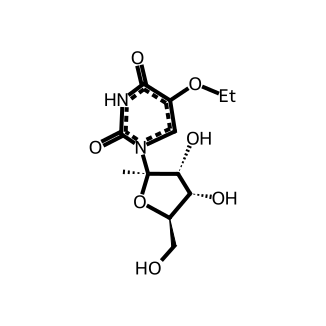 CCOc1cn([C@]2(C)O[C@H](CO)[C@@H](O)[C@H]2O)c(=O)[nH]c1=O